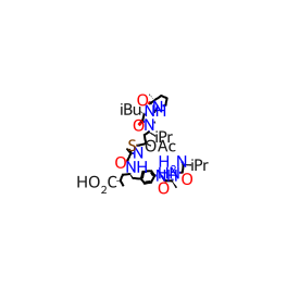 CCC(C)[C@H](NC(=O)[C@@]1(C)CCCN1C)C(=O)N(C)[C@H](C[C@@H](OC(C)=O)c1nc(C(=O)N[C@@H](Cc2ccc(NC(=O)[C@H](C)NC(=O)[C@@H](N)C(C)C)cc2)C[C@H](C)C(=O)O)cs1)C(C)C